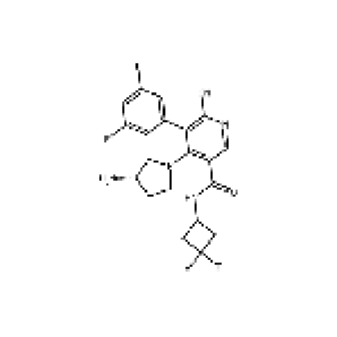 N#Cc1ncc(C(=O)NC2CC(F)(F)C2)c(N2CC[C@H](N)C2)c1-c1cc(F)cc(F)c1